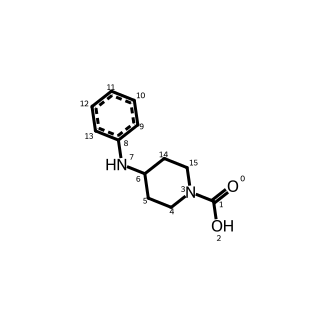 O=C(O)N1CCC(Nc2ccccc2)CC1